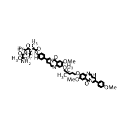 CCCC(C)(N)C(=O)NC(C(=O)N[C@@H](C)C(=O)Nc1ccc(C2=CN3C(=O)c4cc(OC)c(OCC(C)(C)CCCOc5cc6c(cc5OC)C(=O)N5C=C(c7ccc(OC)cc7)C[C@H]5C=N6)cc4N=CC3C2)cc1)C(C)C